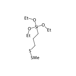 CCO[Si](CCCSSC)(OCC)OCC